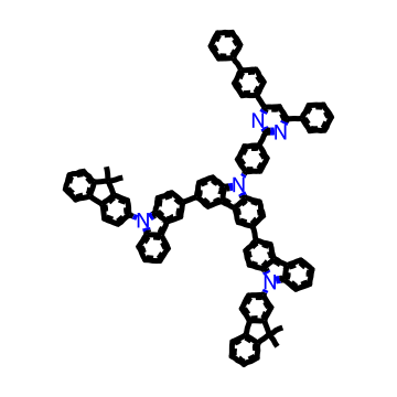 CC1(C)c2ccccc2-c2ccc(-n3c4ccccc4c4cc(-c5ccc6c(c5)c5cc(-c7ccc8c(c7)c7ccccc7n8-c7ccc8c(c7)C(C)(C)c7ccccc7-8)ccc5n6-c5ccc(-c6nc(-c7ccccc7)cc(-c7ccc(-c8ccccc8)cc7)n6)cc5)ccc43)cc21